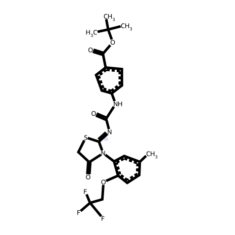 Cc1ccc(OCC(F)(F)F)c(N2C(=O)CS/C2=N\C(=O)Nc2ccc(C(=O)OC(C)(C)C)cc2)c1